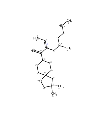 CNCCN(C)C/C(=C/N)C(=N)C1CCC2(CC1)CC(C)(C)CO2